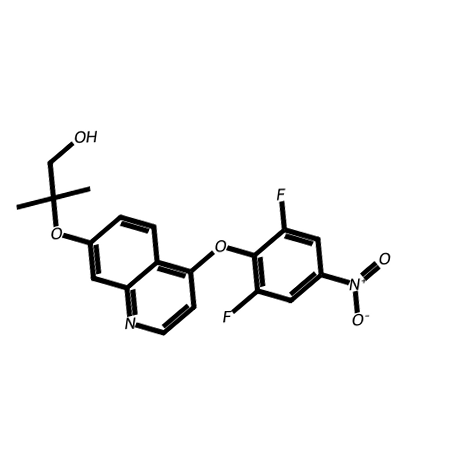 CC(C)(CO)Oc1ccc2c(Oc3c(F)cc([N+](=O)[O-])cc3F)ccnc2c1